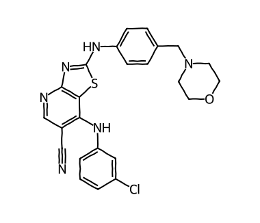 N#Cc1cnc2nc(Nc3ccc(CN4CCOCC4)cc3)sc2c1Nc1cccc(Cl)c1